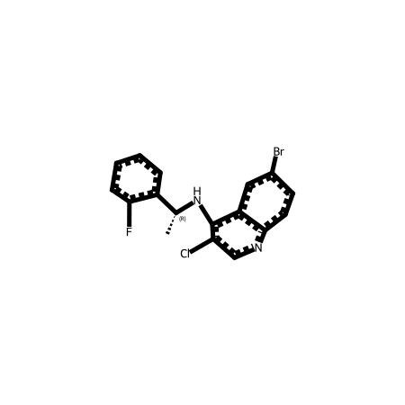 C[C@@H](Nc1c(Cl)cnc2ccc(Br)cc12)c1ccccc1F